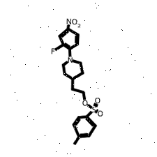 Cc1ccc(S(=O)(=O)OCCC2CCN(c3ccc([N+](=O)[O-])cc3F)CC2)cc1